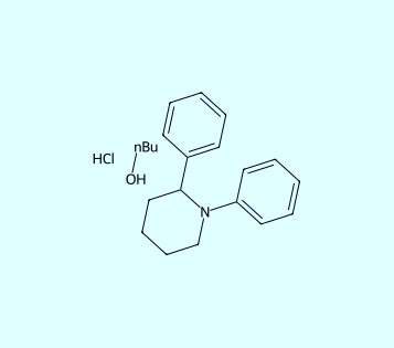 CCCCO.Cl.c1ccc(C2CCCCN2c2ccccc2)cc1